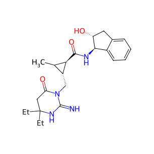 CCC1(CC)CC(=O)N(C[C@@H]2C(C)[C@H]2C(=O)N[C@@H]2c3ccccc3C[C@H]2O)C(=N)N1